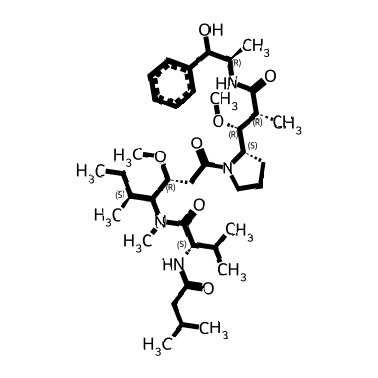 CC[C@H](C)C([C@@H](CC(=O)N1CCC[C@H]1[C@H](OC)[C@@H](C)C(=O)N[C@H](C)C(O)c1ccccc1)OC)N(C)C(=O)[C@@H](NC(=O)CC(C)C)C(C)C